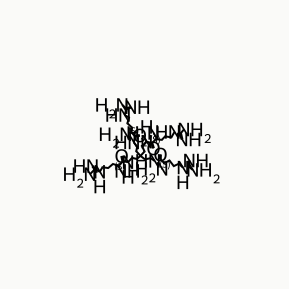 N=C(N)NCCC[C@H](N)C(=O)NCCC(CCNC(=O)[C@@H](N)CCCNC(=N)N)(CCNC(=O)[C@@H](N)CCCNC(=N)N)CCNC(=O)[C@@H](N)CCCNC(=N)N